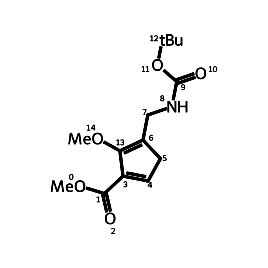 COC(=O)C1=CCC(CNC(=O)OC(C)(C)C)=C1OC